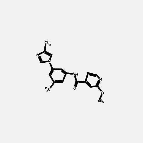 CCCCOc1cc(C(=O)Nc2cc(-n3cnc(C)c3)cc(C(F)(F)F)c2)ccn1